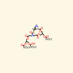 CCCCCCCCC(=O)OCC(COC(=O)CCCCCCCC)COC(=O)CCN(CCC(=O)OCC(COC(=O)CCCCCCCC)COC(O)CCCCCCCC)C(=O)SCCCN(C)C